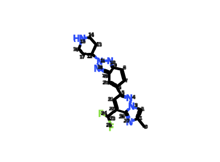 Cc1cn2nc(-c3ccc4nn(C5CCNCC5)nc4c3)cc(C(F)F)c2n1